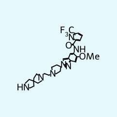 COc1cc2nn(C3CCN(CCN4CCC5(CCNCC5)CC4)CC3)cc2cc1NC(=O)c1cccc(C(F)(F)F)n1